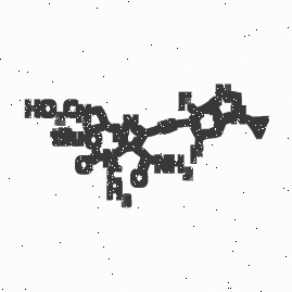 CN(C(=O)OC(C)(C)C)c1c(C(N)=O)c(C#Cc2c(F)cc3c(ncn3C3CC3)c2F)nn1C1CN(C(=O)O)C1